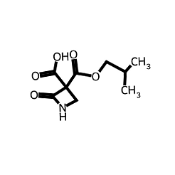 CC(C)COC(=O)C1(C(=O)O)CNC1=O